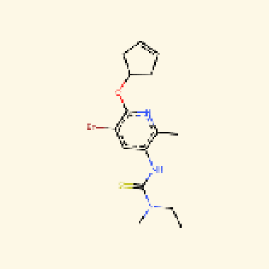 CCN(C)C(=S)Nc1cc(Br)c(OC2CC=CC2)nc1C